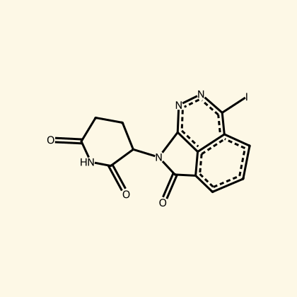 O=C1CCC(N2C(=O)c3cccc4c(I)nnc2c34)C(=O)N1